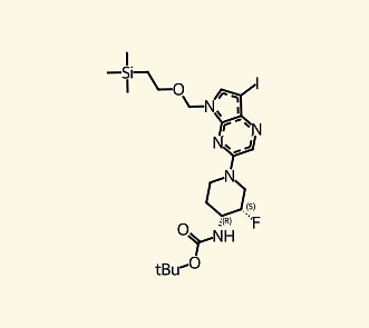 CC(C)(C)OC(=O)N[C@@H]1CCN(c2cnc3c(I)cn(COCC[Si](C)(C)C)c3n2)C[C@@H]1F